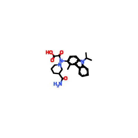 Cc1c(N(C(=O)C(=O)O)N2CCCC(C(N)=O)C2)ccc2c1c1ccccc1n2C(C)C